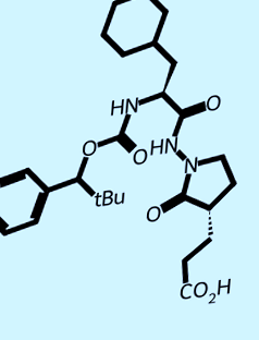 CC(C)(C)C(OC(=O)N[C@@H](CC1CCCCC1)C(=O)NN1CC[C@H](CCC(=O)O)C1=O)c1ccccc1